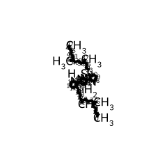 CCCCCC(C)CCCC(C)CCC[SiH2]c1cccnc1-c1ccc(-c2ncccc2[SiH2]CCCC(C)CCCC(C)CCCCC)nn1